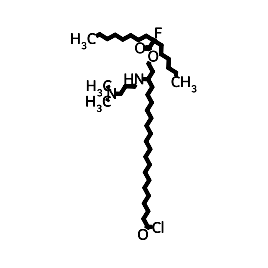 CCCCCCCCC(F)(CCCCCC)C(=O)OCCC(CCCCCCCCCCCCCCCCCCC(=O)Cl)NCCCN(C)C